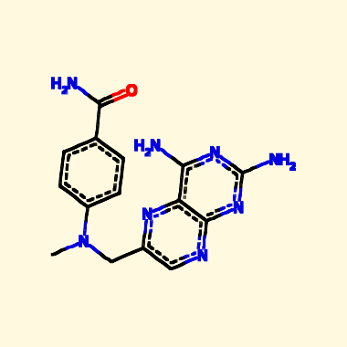 CN(Cc1cnc2nc(N)nc(N)c2n1)c1ccc(C(N)=O)cc1